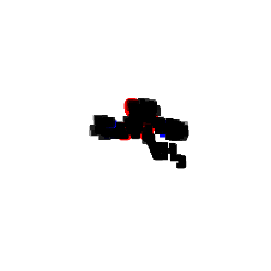 CCCCOc1cc(OCCN2CCCC2)cc2c1-c1c(OCCN3CCCC3)cccc1C2=O